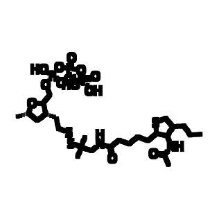 CCCC1CSC(CCCCC(=O)NCC(C)(C)SSCC[C@@H]2C[C@H](C)OC2COP(=O)(O)OP(=O)(O)OP(=O)(O)O)C1NC(C)=O